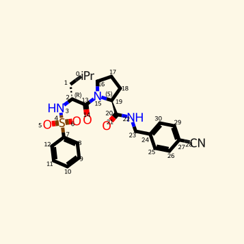 CC(C)C[C@@H](NS(=O)(=O)c1ccccc1)C(=O)N1CCC[C@H]1C(=O)NCc1ccc(C#N)cc1